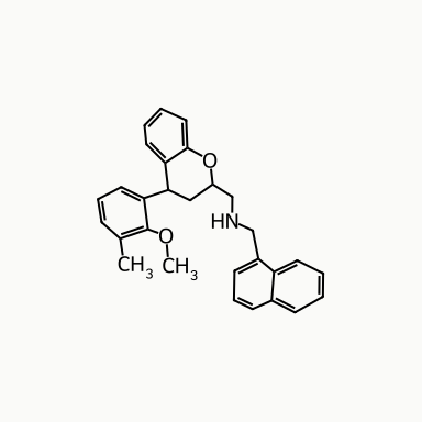 COc1c(C)cccc1C1CC(CNCc2cccc3ccccc23)Oc2ccccc21